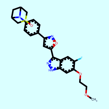 COCCOc1cc2[nH]nc(-c3cc(-c4ccc(N5C6CC5C[S+]([O-])C6)cc4)no3)c2cc1F